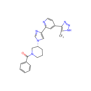 O=C(c1ccccc1)N1CCC[C@@H](n2cnc(-c3cc(-c4nn[nH]c4C(F)(F)F)ccn3)c2)C1